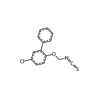 S=C=NCOc1ccc(Cl)cc1-c1ccccc1